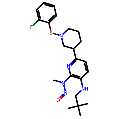 CN(N=O)c1nc(C2CCCN(Sc3ccccc3F)C2)ccc1NCC(C)(C)C